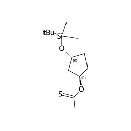 CC(=S)O[C@@H]1CC[C@@H](O[Si](C)(C)C(C)(C)C)C1